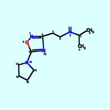 CC(C)NCCc1noc(N2CCCC2)n1